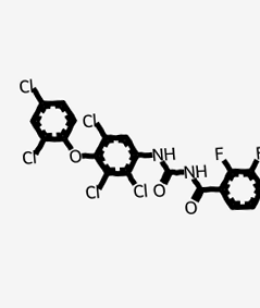 O=C(NC(=O)c1cccc(F)c1F)Nc1cc(Cl)c(Oc2ccc(Cl)cc2Cl)c(Cl)c1Cl